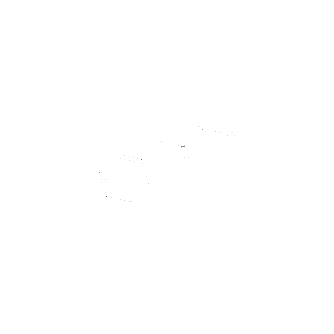 CNNC(=O)Cc1ccc(F)cc1